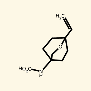 C=CC12CCC(NC(=O)O)(CC1)CO2